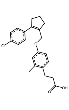 Cc1cc(OCC2=C(c3ccc(Cl)cc3)CCC2)ccc1CCC(=O)O